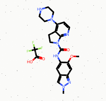 COc1cc2nn(C)cc2cc1NC(=O)N1CCc2c(N3CCNCC3)ccnc21.O=C(O)C(F)(F)F